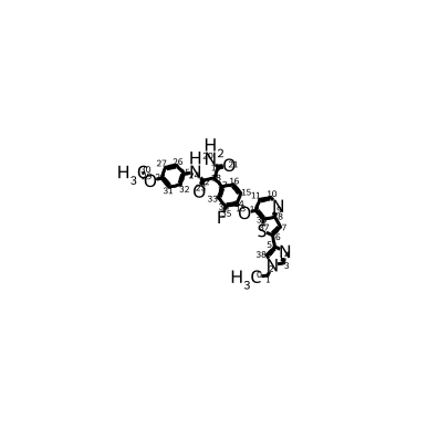 CCn1cnc(-c2cc3nccc(Oc4ccc(C(C(N)=O)C(=O)Nc5ccc(OC)cc5)cc4F)c3s2)c1